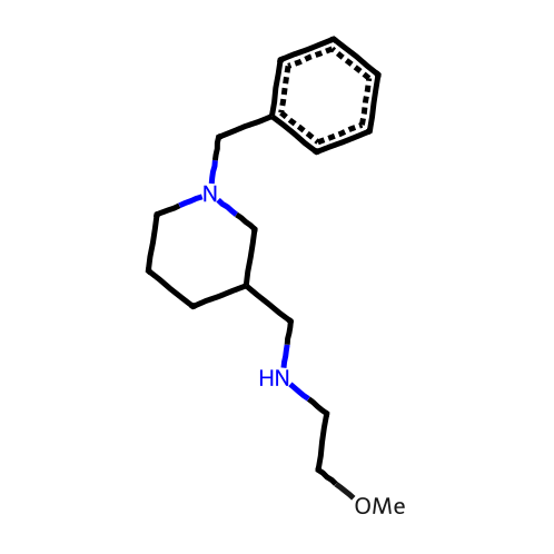 COCCNCC1CCCN(Cc2ccccc2)C1